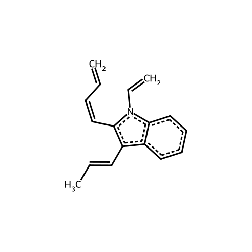 C=C/C=C\c1c(/C=C/C)c2ccccc2n1C=C